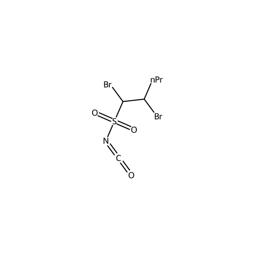 CCCC(Br)C(Br)S(=O)(=O)N=C=O